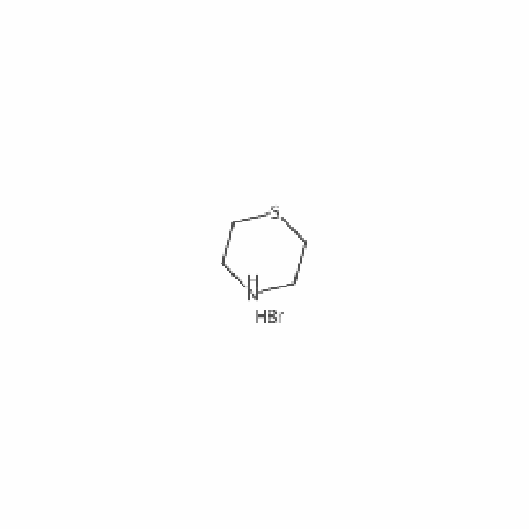 Br.C1CSCCN1